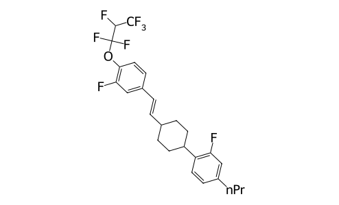 CCCc1ccc(C2CCC(C=Cc3ccc(OC(F)(F)C(F)C(F)(F)F)c(F)c3)CC2)c(F)c1